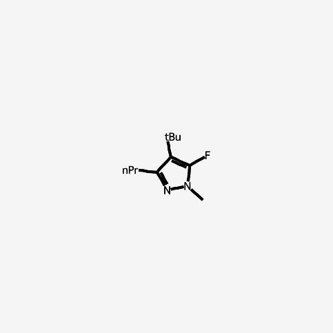 CCCc1nn(C)c(F)c1C(C)(C)C